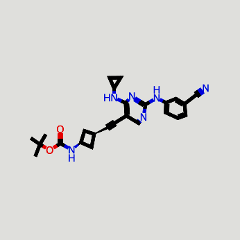 CC(C)(C)OC(=O)N[C@H]1C[C@@H](C#Cc2cnc(Nc3cccc(C#N)c3)nc2NC2CC2)C1